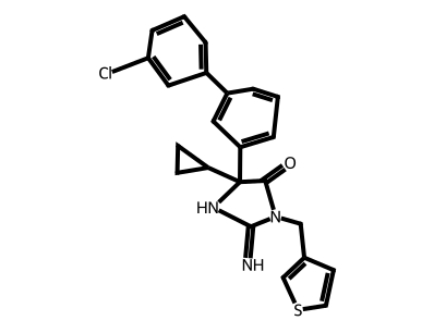 N=C1NC(c2cccc(-c3cccc(Cl)c3)c2)(C2CC2)C(=O)N1Cc1ccsc1